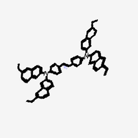 CCc1ccc2cc(N(c3ccc(/C=C/c4ccc(N(c5ccc6cc(CC)ccc6c5)c5ccc6ccc(CC)cc6c5)cc4)cc3)c3ccc4cc(CC)ccc4c3)ccc2c1